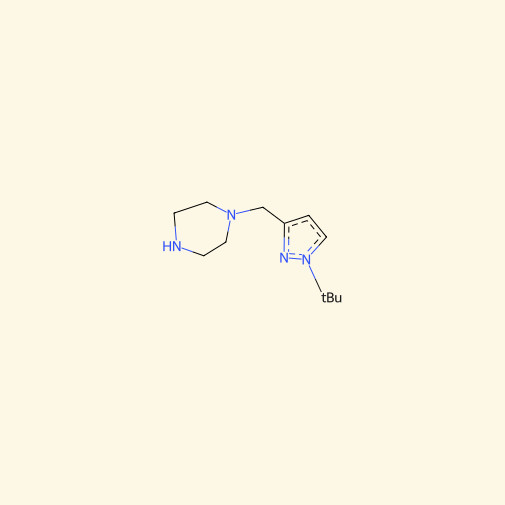 CC(C)(C)n1ccc(CN2CCNCC2)n1